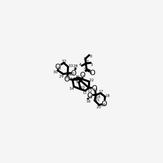 CCC(C)(C)C(=O)OC12CC3CC(OC4(OC)CCOCC4)(C1)CC(OC1(OC)CCOCC1)(C3)C2